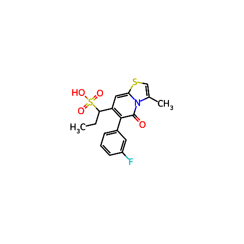 CCC(c1cc2scc(C)n2c(=O)c1-c1cccc(F)c1)S(=O)(=O)O